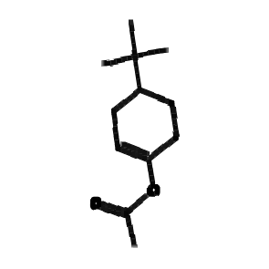 CC(=O)OC1=CCC(C(C)(C)C)CC1